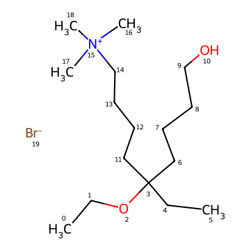 CCOC(CC)(CCCCO)CCCC[N+](C)(C)C.[Br-]